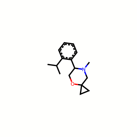 CC(C)c1ccccc1C1COC2(CC2)CN1C